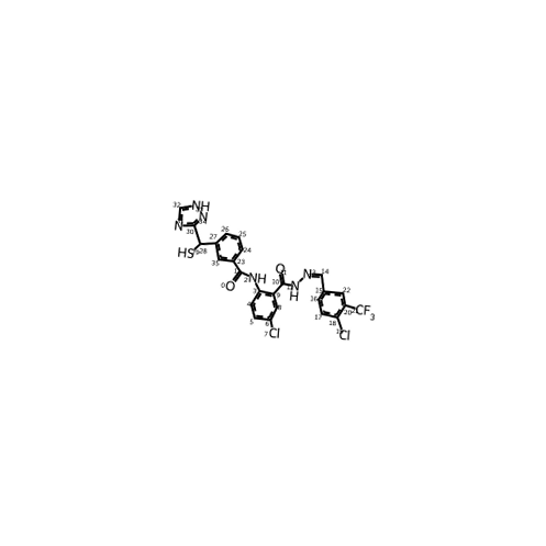 O=C(Nc1ccc(Cl)cc1C(=O)N/N=C\c1ccc(Cl)c(C(F)(F)F)c1)c1cccc(C(S)c2nc[nH]n2)c1